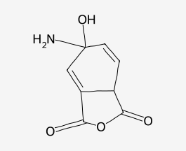 NC1(O)C=CC2C(=O)OC(=O)C2=C1